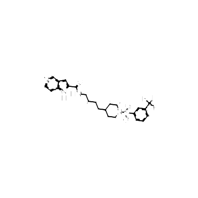 O=C(NCCCCC1CCN(S(=O)(=O)c2cccc(C(F)(F)F)c2)CC1)c1cc2cnccc2[nH]1